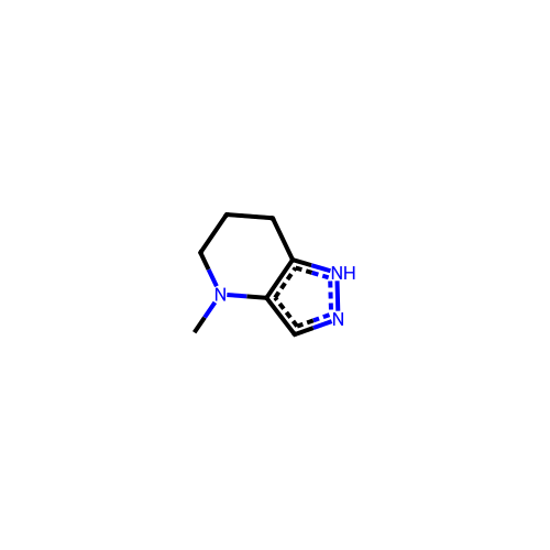 CN1CCCc2[nH]ncc21